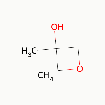 C.CC1(O)COC1